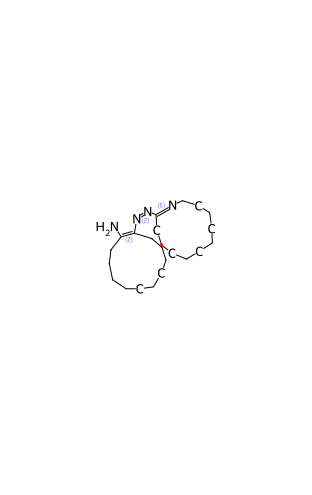 N\C1=C(/N=N\C2=N\CCCCCCCCCC2)CCCCCCCCCC1